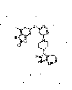 Cc1cc(Oc2cc(N3CCC(n4c(=O)[nH]c5ncccc54)CC3)ncn2)cc2oc(=O)[nH]c12